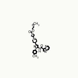 COCCOC(=O)N1CC(N2CCC(c3cc(NC(=O)c4cnn5cccnc45)n(-c4ccc(C)cc4)n3)CC2)C1